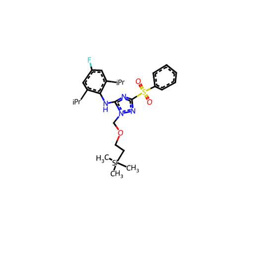 CC(C)c1cc(F)cc(C(C)C)c1Nc1nc(S(=O)(=O)c2ccccc2)nn1COCC[Si](C)(C)C